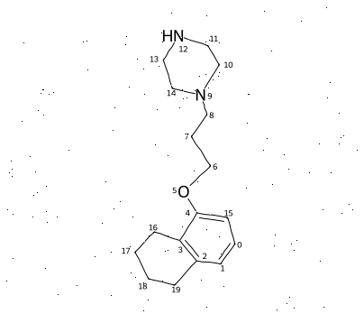 c1cc2c(c(OCCCN3CCNCC3)c1)CCCC2